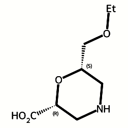 CCOC[C@@H]1CNC[C@H](C(=O)O)O1